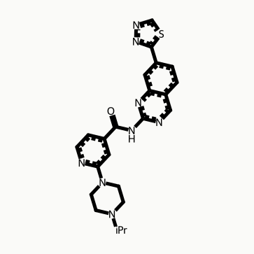 CC(C)N1CCN(c2cc(C(=O)Nc3ncc4ccc(-c5nncs5)cc4n3)ccn2)CC1